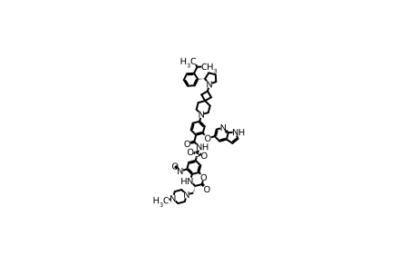 CC(C)c1ccccc1[C@@H]1CCCN1C1CC2(CCN(c3ccc(C(=O)NS(=O)(=O)c4cc(N=O)c5c(c4)OC(=O)[C@H](CN4CCN(C)CC4)N5)c(Oc4cnc5[nH]ccc5c4)c3)CC2)C1